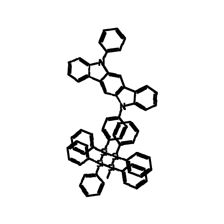 C[Si]1(c2ccccc2)[Si](c2ccccc2)(c2ccccc2)[Si](c2ccccc2)(c2ccc(-n3c4ccccc4c4cc5c(cc43)c3ccccc3n5-c3ccccc3)cc2)[Si]1(c1ccccc1)c1ccccc1